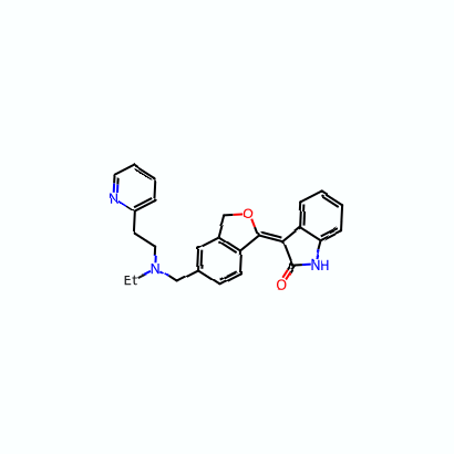 CCN(CCc1ccccn1)Cc1ccc2c(c1)CO/C2=C1/C(=O)Nc2ccccc21